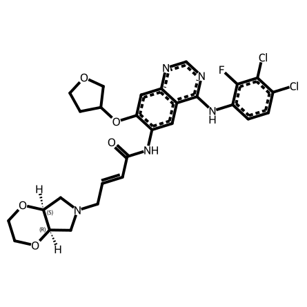 O=C(C=CCN1C[C@@H]2OCCO[C@@H]2C1)Nc1cc2c(Nc3ccc(Cl)c(Cl)c3F)ncnc2cc1OC1CCOC1